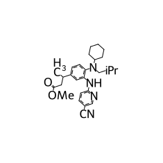 COC(=O)CC(C)c1ccc(N(CC(C)C)C2CCCCC2)c(Nc2ccc(C#N)cn2)c1